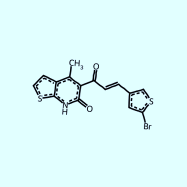 Cc1c(C(=O)C=Cc2csc(Br)c2)c(=O)[nH]c2sccc12